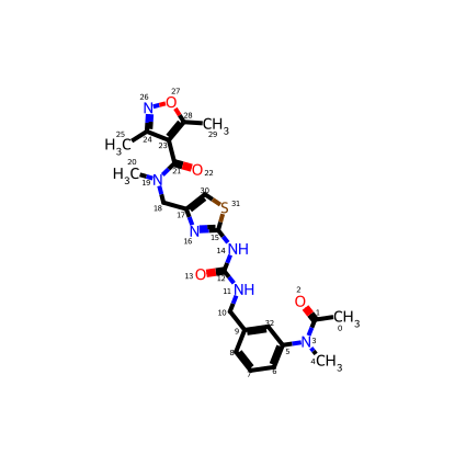 CC(=O)N(C)c1cccc(CNC(=O)Nc2nc(CN(C)C(=O)c3c(C)noc3C)cs2)c1